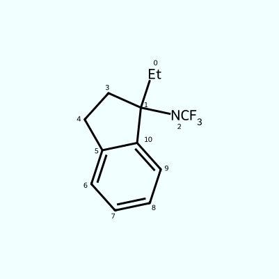 CCC1(NC(F)(F)F)CCc2ccccc21